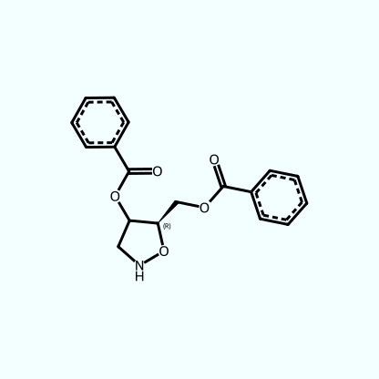 O=C(OC[C@H]1ONCC1OC(=O)c1ccccc1)c1ccccc1